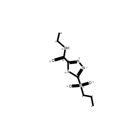 CCCS(=O)(=O)c1nnc(C(=O)NCC)s1